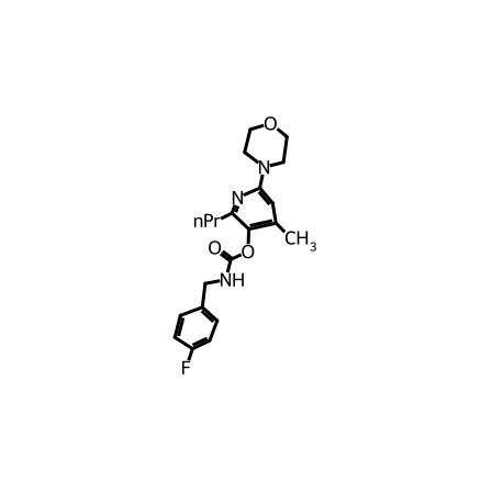 CCCc1nc(N2CCOCC2)cc(C)c1OC(=O)NCc1ccc(F)cc1